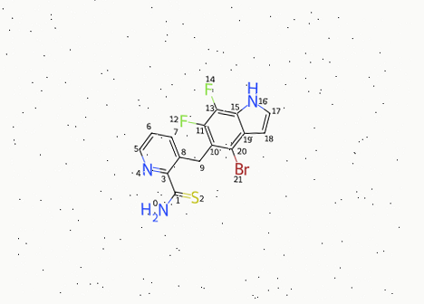 NC(=S)c1ncccc1Cc1c(F)c(F)c2[nH]ccc2c1Br